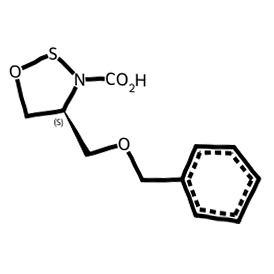 O=C(O)N1SOC[C@@H]1COCc1ccccc1